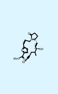 CCC#CCC(C)[C@H](O)/C=C/[C@H]1CCC(=O)N1C/C=C\c1ccc(C(=O)OC)s1